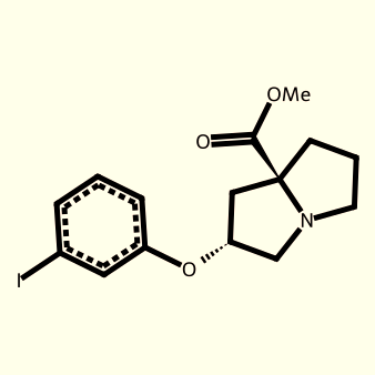 COC(=O)[C@@]12CCCN1C[C@H](Oc1cccc(I)c1)C2